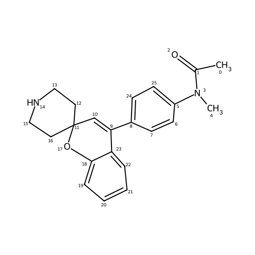 CC(=O)N(C)c1ccc(C2=CC3(CCNCC3)Oc3ccccc32)cc1